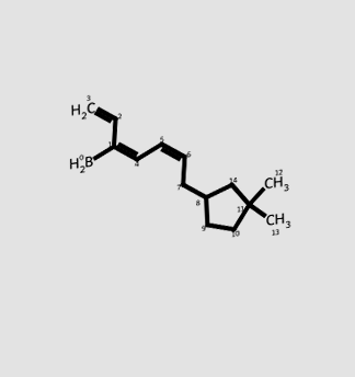 B/C(C=C)=C/C=C\CC1CCC(C)(C)C1